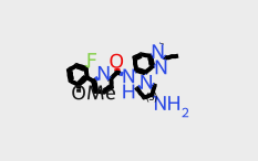 COc1cccc(F)c1-c1cccc(C(=O)Nc2ccc3c(nc(C)n3C)c2N2CC[C@H](N)C2)n1